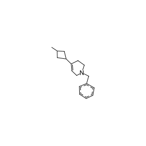 CC1CC(C2=CCN(Cc3ccccc3)CC2)C1